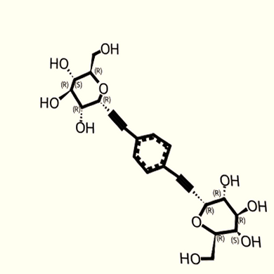 OC[C@H]1O[C@H](C#Cc2ccc(C#C[C@H]3O[C@H](CO)[C@@H](O)[C@H](O)[C@H]3O)cc2)[C@H](O)[C@@H](O)[C@@H]1O